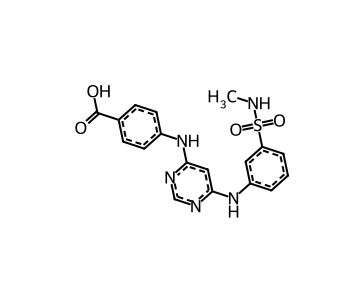 CNS(=O)(=O)c1cccc(Nc2cc(Nc3ccc(C(=O)O)cc3)ncn2)c1